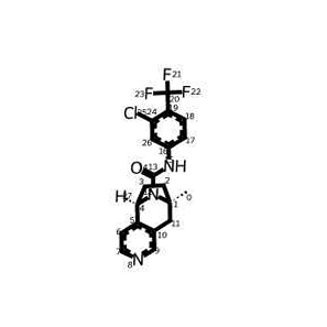 C[C@]12CC[C@H](c3ccncc3C1)N2C(=O)Nc1ccc(C(F)(F)F)c(Cl)c1